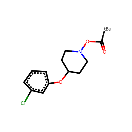 CC(C)(C)C(=O)ON1CCC(Oc2cccc(Cl)c2)CC1